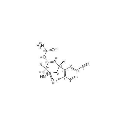 C#Cc1ccc(F)c([C@]2(C)C[S@](=N)(=O)C(C)(C)C(OC(N)=O)=N2)c1